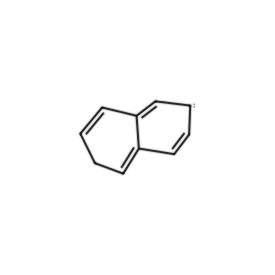 [C]1C=CC2=CCC=CC2=C1